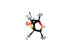 [3H][C@@H]1O[C@@]2(CC)[C@@H](C)S[C@@H]1[C@@H]2O